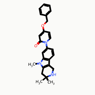 Cn1c2c(c3ccc(-n4ccc(OCc5ccccc5)cc4=O)cc31)CNC(C)(C)C2